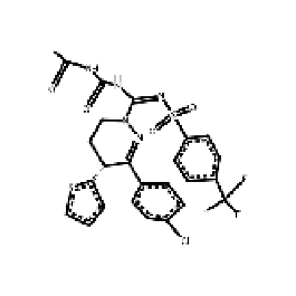 CC(=O)NC(=O)N/C(=N/S(=O)(=O)c1ccc(C(F)(F)F)cc1)N1CC[C@@H](c2cccs2)C(c2ccc(Cl)cc2)=N1